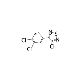 Clc1ccc(-c2nsnc2Cl)cc1Cl